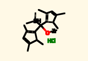 CC1=CC(C)=C(C([O][Zr])(C2=C(C)C=C(C)C2C)[SiH](C)C)C1C.Cl